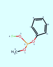 COP(OF)Oc1ccccc1